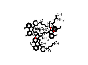 CCc1cccc(-c2c(F)cccc2C(O)(CCCN(C(=O)O)C(CCCC(O)(c2cccc(F)c2-c2cccc(C)c2)C2CCCN(C(=O)CCCNC)C2)(C(N)=O)C(CCCC(O)(c2cccc(F)c2-c2cc(C)ccc2F)C2CCCN(C(=O)CCCNC)C2)C(N)=O)C2CCCN(C(=O)CCC(N)CO)C2)c1